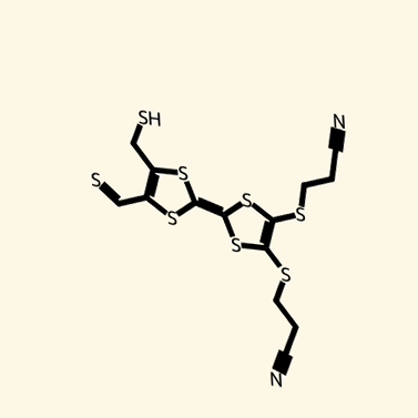 N#CCCSC1=C(SCCC#N)SC(=C2SC(C=S)=C(CS)S2)S1